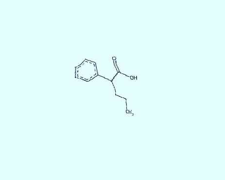 CCCC(C(=O)O)c1cc[c]cc1